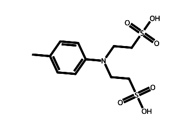 Cc1ccc(N(CCS(=O)(=O)O)CCS(=O)(=O)O)cc1